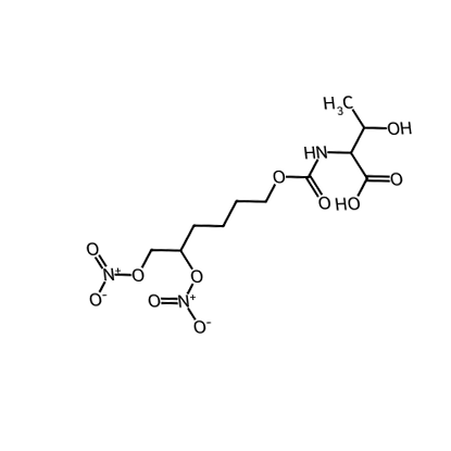 CC(O)C(NC(=O)OCCCCC(CO[N+](=O)[O-])O[N+](=O)[O-])C(=O)O